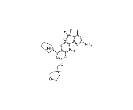 Cc1cc(N)nc(-c2c(Cl)cc3c(N4CC5CCC(C4)N5)nc(OCC4(C)CCOCC4)nc3c2F)c1C(F)(F)F